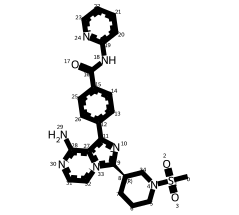 CS(=O)(=O)N1CCC[C@@H](c2nc(-c3ccc(C(=O)Nc4ccccn4)cc3)c3c(N)nccn23)C1